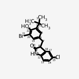 CC(C)(C)c1cc(CC2C(=O)Nc3ccc(Cl)cc32)cc(Br)c1O